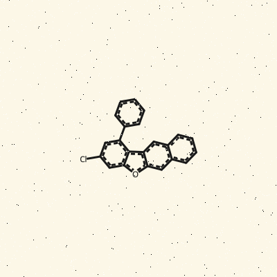 Clc1cc(-c2ccccc2)c2c(c1)oc1cc3ccccc3cc12